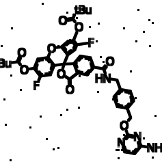 CC(C)(C)C(=O)Oc1cc2c(cc1F)C1(OC(=O)c3cc(C(=O)NCc4ccc(COc5nccc(N)n5)cc4)ccc31)c1cc(F)c(OC(=O)C(C)(C)C)cc1O2